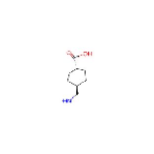 [NH]C[C@H]1CC[C@H](C(=O)O)CC1